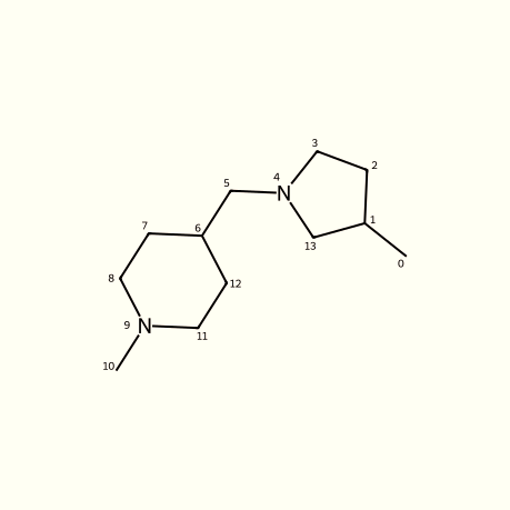 CC1CCN(CC2CCN(C)CC2)C1